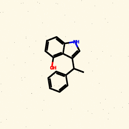 CC(c1ccccc1)c1c[nH]c2cccc(O)c12